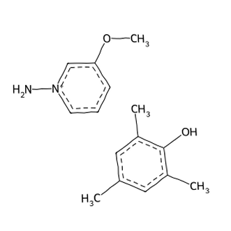 COc1ccc[n+](N)c1.Cc1cc(C)c(O)c(C)c1